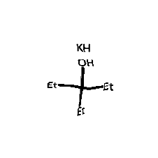 CCC(O)(CC)CC.[KH]